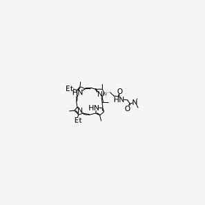 CCC1=C(C)c2cc3[nH]c(cc4nc(c(C)c5cc(C)c(cc1n2)[nH]5)[C@@H](CCC(=O)NCC(=O)N(C)C)C4C)c(C)c3CC